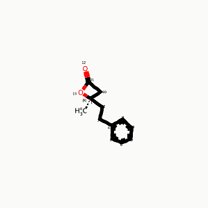 C[C@@]1(CCc2ccccc2)CC(=O)O1